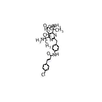 CC(C)(N)c1nc(Cc2ccc(NC(=O)/C=C/c3ccc(Cl)cc3)cc2)nc(C(C)(C)N)c1CC(=O)O